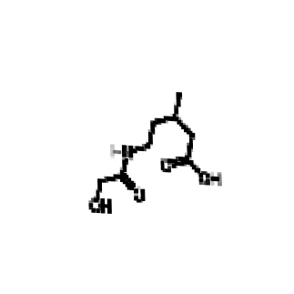 C[C@H](CCNC(=O)CO)CC(=O)O